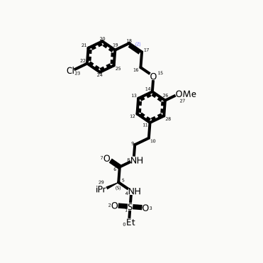 CCS(=O)(=O)N[C@H](C(=O)NCCc1ccc(OC/C=C\c2ccc(Cl)cc2)c(OC)c1)C(C)C